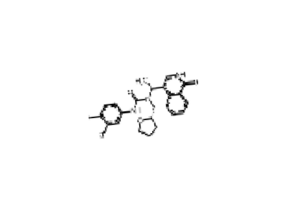 C[C@@H](c1c[nH]c(=O)c2ccccc12)N(C[C@@H]1CCCO1)C(=O)Nc1ccc(F)c(Cl)c1